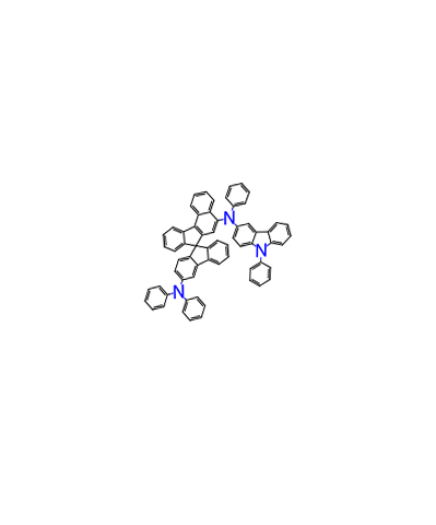 c1ccc(N(c2ccccc2)c2ccc3c(c2)-c2ccccc2C32c3ccccc3-c3c2cc(N(c2ccccc2)c2ccc4c(c2)c2ccccc2n4-c2ccccc2)c2ccccc32)cc1